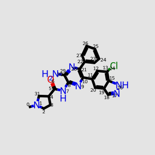 CN1CCC(C(=O)Nc2nc(-c3cc(Cl)c4[nH]ncc4c3)c(-c3ccccc3)nc2N)C1